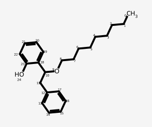 CCCCCCCCCOC(Cc1ccccc1)c1ccccc1O